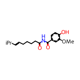 COc1cc(C(=O)NC(=O)CCCC/C=C/C(C)C)ccc1O